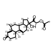 CC(=O)OCC(=O)[C@@]1(O)CCC2C3CC(C)C4=CC(=O)CC[C@]4(C)C3=CC[C@@]21C